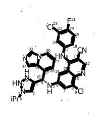 CC(C)N1C=C([C@@H](Nc2cc(Cl)c3ncc(C#N)c(Nc4ccc(F)c(Cl)c4)c3c2)c2cccn3cncc23)NN1